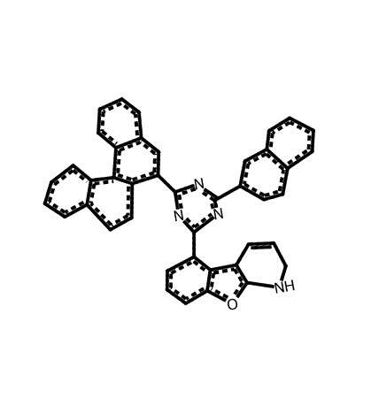 C1=Cc2c(oc3cccc(-c4nc(-c5ccc6ccccc6c5)nc(-c5cc6ccccc6c6c5ccc5ccccc56)n4)c23)NC1